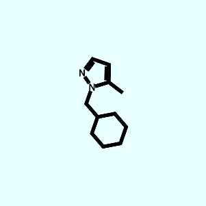 Cc1ccnn1CC1CCCCC1